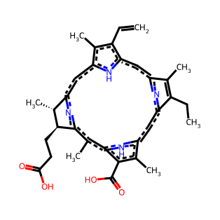 C=Cc1c(C)c2cc3nc(c(C)c4[nH]c(cc5nc(cc1[nH]2)C(C)=C5CC)c(C)c4C(=O)O)[C@@H](CCC(=O)O)[C@@H]3C